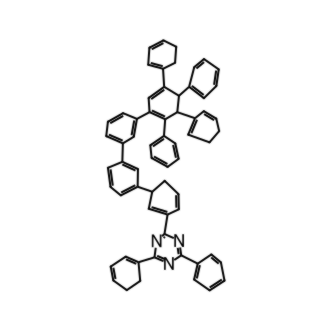 C1=CCCC(C2=CC(c3cccc(-c4cccc(C5C=C(c6nc(C7=CC=CCC7)nc(-c7ccccc7)n6)C=CC5)c4)c3)=C(c3ccccc3)C(C3=CCCC=C3)C2c2ccccc2)=C1